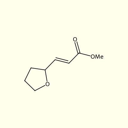 COC(=O)C=CC1CCCO1